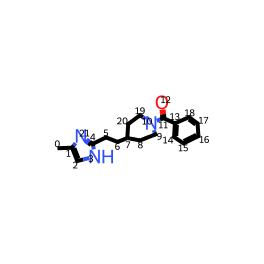 Cc1c[nH]c(CCC2CCN(C(=O)c3ccccc3)CC2)n1